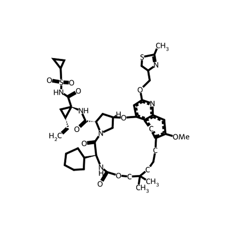 C=C[C@@H]1C[C@]1(NC(=O)[C@@H]1C[C@@H]2CN1C(=O)[C@H](C1CCCCC1)NC(=O)OCC(C)(C)CCCc1cc3c(cc(OCC4CSC(C)=N4)nc3cc1OC)O2)C(=O)NS(=O)(=O)C1CC1